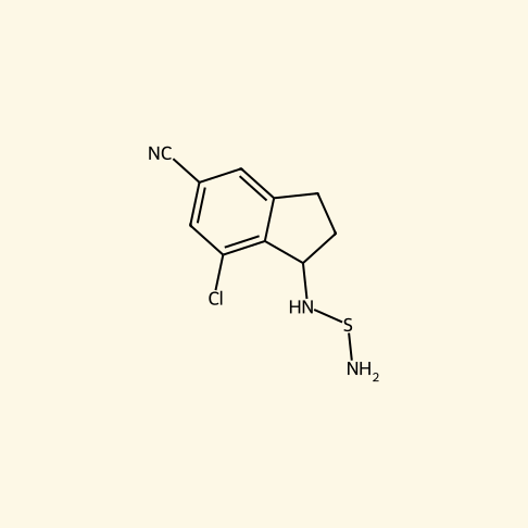 N#Cc1cc(Cl)c2c(c1)CCC2NSN